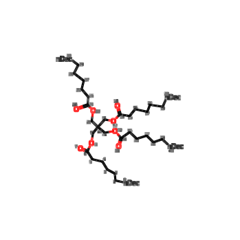 CCCCCCCCCCCCCCCC(=O)OCC(COC(=O)CCCCCCCCCCCCCCC)(COC(=O)CCCCCCCCCCCCCCC)COC(=O)CCCCCCCCCCCCCCC